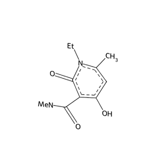 CCn1c(C)cc(O)c(C(=O)NC)c1=O